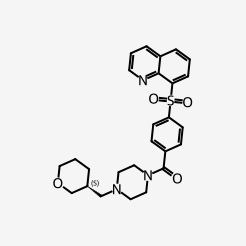 O=C(c1ccc(S(=O)(=O)c2cccc3cccnc23)cc1)N1CCN(C[C@@H]2CCCOC2)CC1